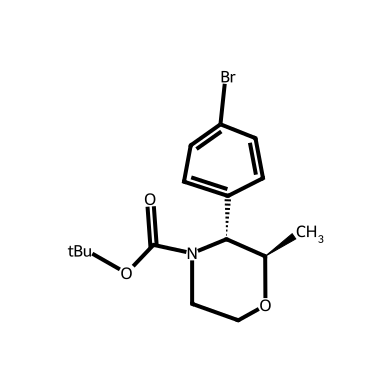 C[C@H]1OCCN(C(=O)OC(C)(C)C)[C@@H]1c1ccc(Br)cc1